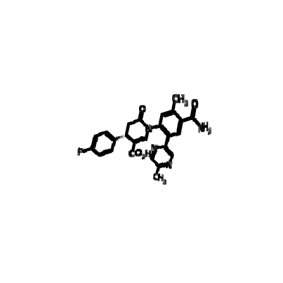 Cc1cnc(-c2cc(C(N)=O)c(C)cc2N2C=C(C(=O)O)[C@H](c3ccc(F)cc3)CC2=O)cn1